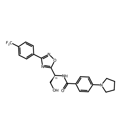 O=C(N[C@@H](CO)c1nc(-c2ccc(C(F)(F)F)cc2)no1)c1ccc(N2CCCC2)cc1